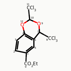 CCOC(=O)c1ccc2c(c1)C(C(Cl)(Cl)Cl)OC(C(Cl)(Cl)Cl)O2